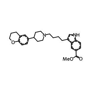 COC(=O)c1ccc2[nH]cc(CCCCN3CCC(c4ccc5c(c4)CCCO5)CC3)c2c1